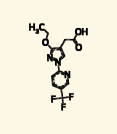 CCOc1nn(-c2ccc(C(F)(F)F)cn2)cc1CC(=O)O